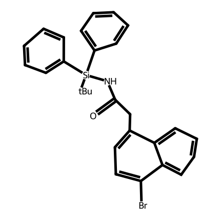 CC(C)(C)[Si](NC(=O)Cc1ccc(Br)c2ccccc12)(c1ccccc1)c1ccccc1